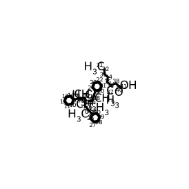 CC(C)([CH2][Sn]([CH2]C(C)(C)c1ccccc1)[CH2]C(C)(C)c1ccccc1)c1ccccc1.CCCCCC(C)CC(=O)O